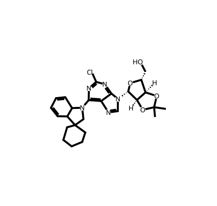 CC1(C)O[C@@H]2[C@H](O1)[C@@H](CO)O[C@H]2n1cnc2c(N3CC4(CCCCC4)C4C=CC=CC43)nc(Cl)nc21